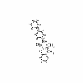 CN(C)[C@H](Cc1ccccc1)C(=O)Nc1ccc(-c2ccncc2)cc1